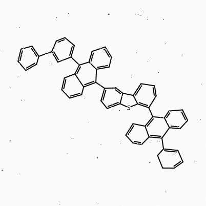 C1=CCCC(c2c3ccccc3c(-c3cccc4c3sc3ccc(-c5c6ccccc6c(-c6cccc(-c7ccccc7)c6)c6ccccc56)cc34)c3ccccc23)=C1